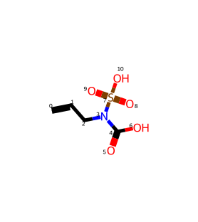 C=CCN(C(=O)O)S(=O)(=O)O